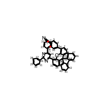 N#Cc1ccc(-c2cccc3c2Oc2c(-c4cc(-c5ccccc5)nc(-c5ccccc5)n4)cccc2C32c3ccccc3-c3ccccc32)cc1